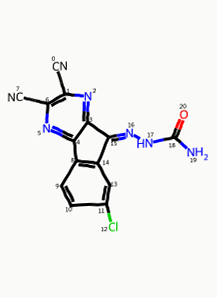 N#Cc1nc2c(nc1C#N)-c1ccc(Cl)cc1C2=NNC(N)=O